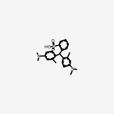 Cc1cc(N(C)C)ccc1C(c1ccc(N(C)C)cc1C)c1ccccc1S(=O)(=O)O